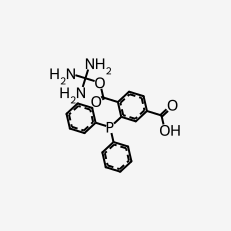 NC(N)(N)OC(=O)c1ccc(C(=O)O)cc1P(c1ccccc1)c1ccccc1